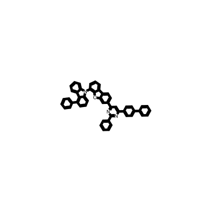 c1ccc(-c2ccc(-c3cc(-c4ccc5c(c4)oc4c(-n6c7ccccc7c7c(-c8ccccc8)cccc76)cccc45)nc(-c4ccccc4)n3)cc2)cc1